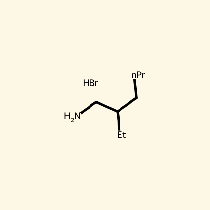 Br.CCCCC(CC)CN